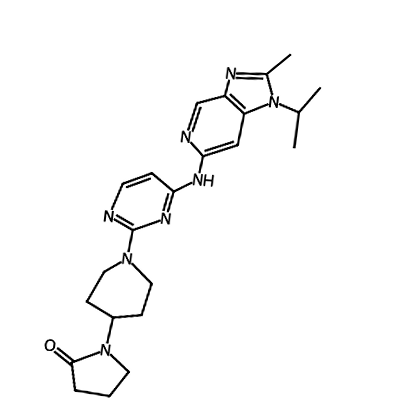 Cc1nc2cnc(Nc3ccnc(N4CCC(N5CCCC5=O)CC4)n3)cc2n1C(C)C